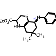 CCOC(=O)C1CSC2=C(CC(C)(C)C/C2=N\c2ccccc2)N1